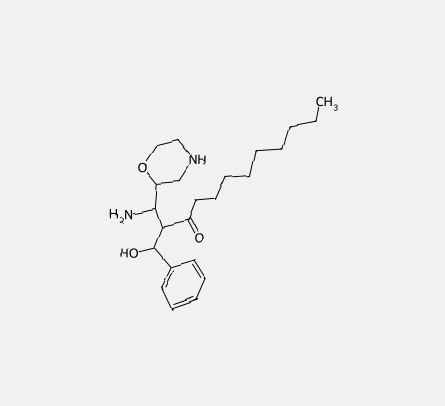 CCCCCCCCCC(=O)C(C(O)c1ccccc1)C(N)C1CNCCO1